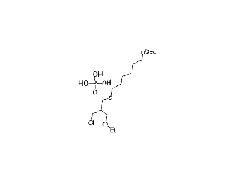 CCCCCCCCCCCCCCCCSCC(CO)COCC.O=P(O)(O)O